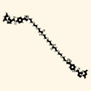 Cc1cc(C)n2ccc(C(=O)Nc3ccc(-c4cn(CCOCCOCCC(=O)NCCCOCCNC(=O)CCOCCOCCn5cc(-c6ccc(NC(=O)c7ccn8c(C)cc(C)nc78)cc6)nn5)nn4)cc3)c2n1